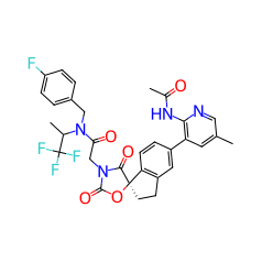 CC(=O)Nc1ncc(C)cc1-c1ccc2c(c1)CC[C@@]21OC(=O)N(CC(=O)N(Cc2ccc(F)cc2)C(C)C(F)(F)F)C1=O